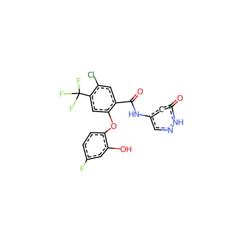 O=C(Nc1cn[nH]c(=O)c1)c1cc(Cl)c(C(F)(F)F)cc1Oc1ccc(F)cc1O